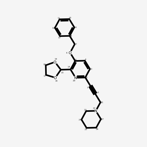 C(#Cc1ccc(OCc2ccccc2)c(C2OCCO2)n1)CN1CCCCC1